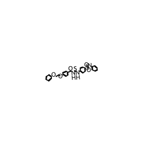 CN(c1ccccc1)S(=O)(=O)c1ccc(NC(=S)NC(=O)c2ccc(OCCOc3ccccc3)cc2)cc1